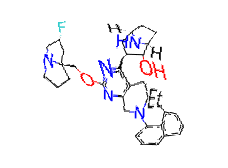 CCc1cccc2cccc(N3CCc4c(nc(OC[C@@]56CCCN5C[C@H](F)C6)nc4[C@H]4C[C@H]5CC[C@H](N5)C4O)C3)c12